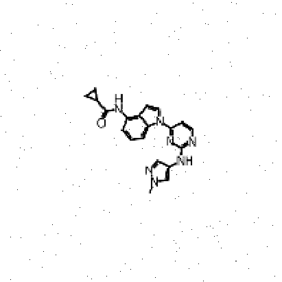 Cn1cc(Nc2nccc(-n3ccc4c(NC(=O)C5CC5)cccc43)n2)cn1